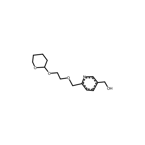 OCc1ccc(COCCOC2CCCCO2)nc1